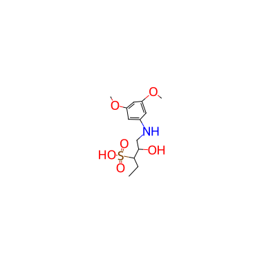 CCC(C(O)CNc1cc(OC)cc(OC)c1)S(=O)(=O)O